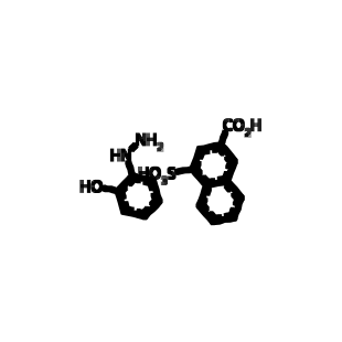 NNc1ccccc1O.O=C(O)c1cc(S(=O)(=O)O)c2ccccc2c1